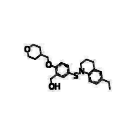 CCc1ccc2c(c1)CCCN2Sc1ccc(OCC2CCOCC2)c(CO)c1